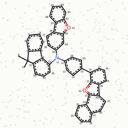 CC1(C)c2ccccc2-c2c(N(c3ccc(-c4cccc5c4oc4c6ccccc6ccc54)cc3)c3ccc4c(c3)oc3ccccc34)cccc21